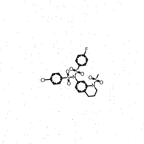 CS(=O)(=O)N1CCCc2ccc(N(S(=O)(=O)c3ccc(F)cc3)S(=O)(=O)c3ccc(Cl)cc3)cc21